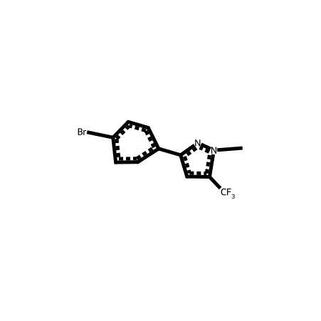 Cn1nc(-c2ccc(Br)cc2)cc1C(F)(F)F